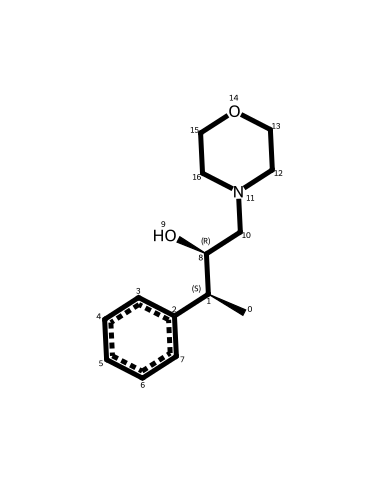 C[C@@H](c1ccccc1)[C@@H](O)CN1CCOCC1